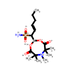 CCCC=CC(B1OC(=O)C(C)(C)N(C)C(C)(C)C(=O)O1)S(N)(=O)=O